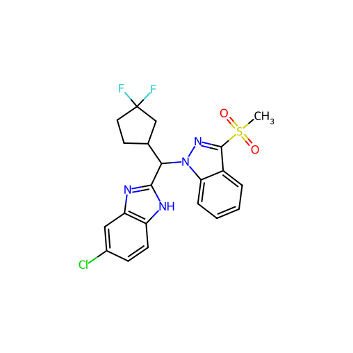 CS(=O)(=O)c1nn(C(c2nc3cc(Cl)ccc3[nH]2)C2CCC(F)(F)C2)c2ccccc12